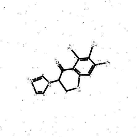 CC(C)c1cc2c(c(C(C)C)c1O)C(=O)C(n1ccnc1)CO2